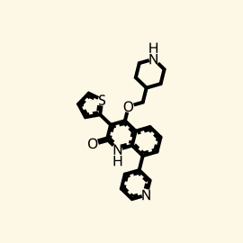 O=c1[nH]c2c(-c3cccnc3)cccc2c(OCC2CCNCC2)c1-c1cccs1